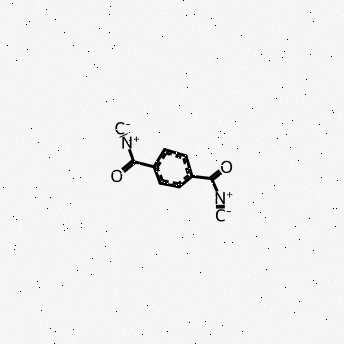 [C-]#[N+]C(=O)c1ccc(C(=O)[N+]#[C-])cc1